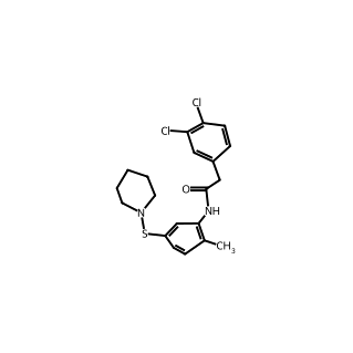 Cc1ccc(SN2CCCCC2)cc1NC(=O)Cc1ccc(Cl)c(Cl)c1